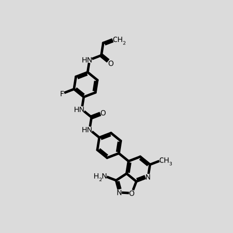 C=CC(=O)Nc1ccc(NC(=O)Nc2ccc(-c3cc(C)nc4onc(N)c34)cc2)c(F)c1